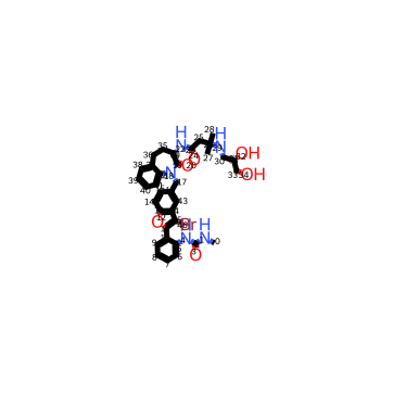 CNC(=O)Nc1ccccc1-c1oc2ccc(CN3C(=O)[C@H](NC(=O)CC(C)(C)NC[C@H](O)CO)CCc4ccccc43)cc2c1Br